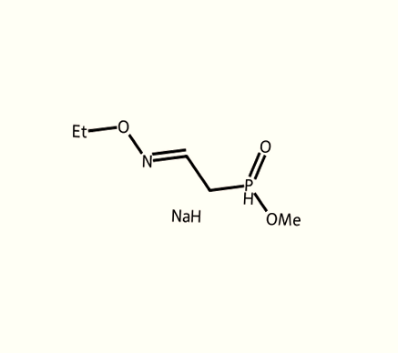 CCON=CC[PH](=O)OC.[NaH]